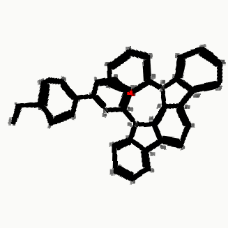 CCc1ccc(-c2cccc(-n3c4ccccc4c4ccc5c6ccccc6n(-c6ccccc6)c5c43)n2)cc1